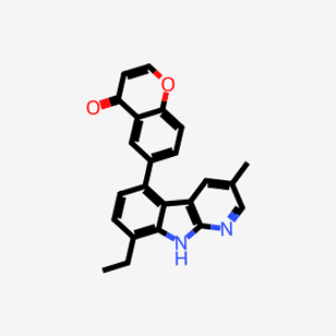 CCc1ccc(-c2ccc3occc(=O)c3c2)c2c1[nH]c1ncc(C)cc12